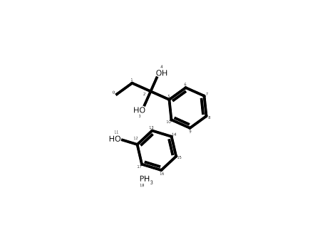 CCC(O)(O)c1ccccc1.Oc1ccccc1.P